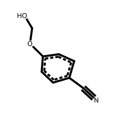 N#Cc1ccc(OCO)cc1